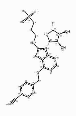 C[C@H]1O[C@@H](n2c(NCCCS(C)(=O)=O)nc3c(OCc4ccc(C#N)cc4)ncnc32)[C@H](O)[C@@H]1O